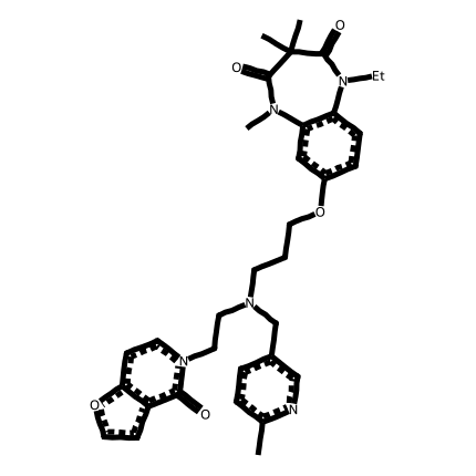 CCN1C(=O)C(C)(C)C(=O)N(C)c2cc(OCCCN(CCn3ccc4occc4c3=O)Cc3ccc(C)nc3)ccc21